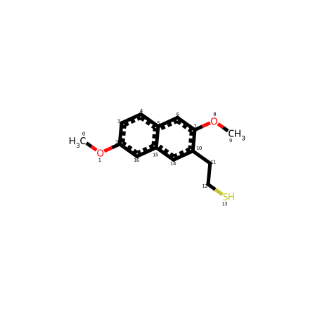 COc1ccc2cc(OC)c(CCS)cc2c1